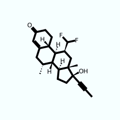 CC#C[C@]1(O)CC[C@H]2[C@H]3[C@H]([C@@H](C(F)F)C[C@@]21C)[C@H]1CCC(=O)C=C1C[C@H]3C